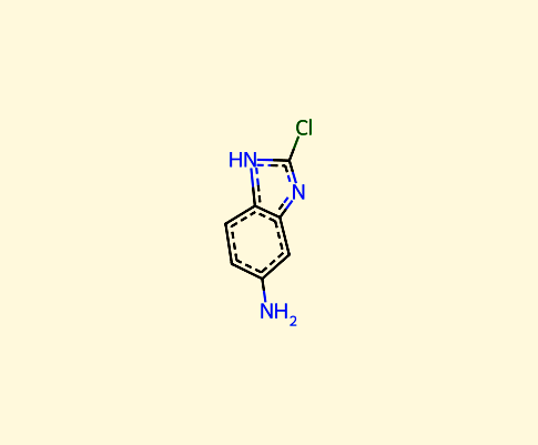 Nc1ccc2[nH]c(Cl)nc2c1